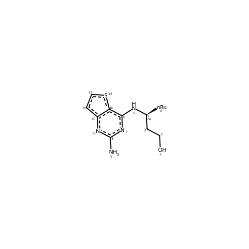 CCCC[C@@H](CCO)Nc1nc(N)nc2ccsc12